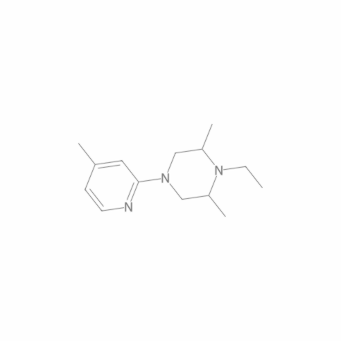 CCN1C(C)CN(c2cc(C)ccn2)CC1C